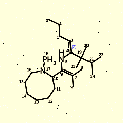 CCC/C=C(\NC(=C(C)C)C1CCCCCCN1P)C(C)(C)C(C)C